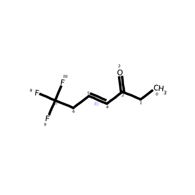 CCC(=O)/C=C/CC(F)(F)F